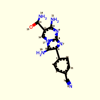 N#Cc1ccc(-c2nc3nc(N)c(C(N)=O)cn3c2N)cc1